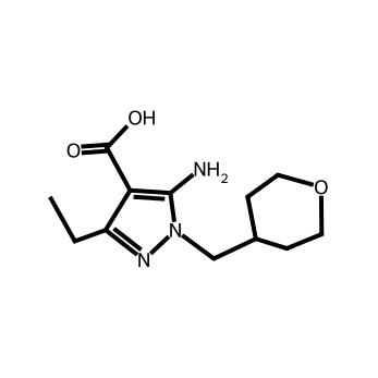 CCc1nn(CC2CCOCC2)c(N)c1C(=O)O